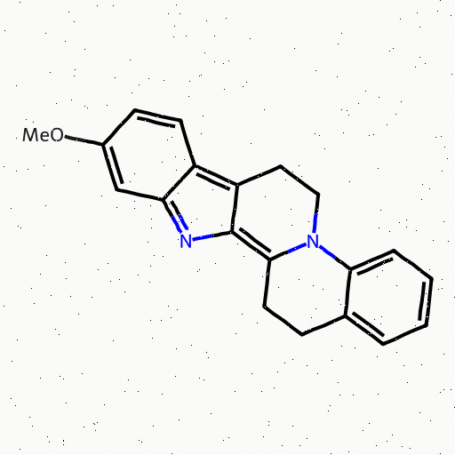 COc1ccc2c(c1)=NC1=C3CCc4ccccc4N3CCC=21